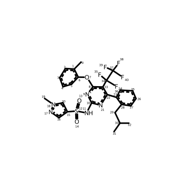 Cc1ccccc1Oc1nc(NS(=O)(=O)c2cnn(C)c2)nc(-c2ccccc2CC(C)C)c1C(F)(F)C(F)(F)F